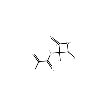 C=C(C)C(=O)OC1(C)C(=O)OC1C